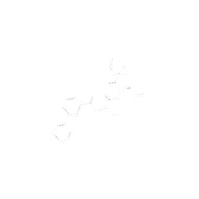 CC(C)C[C@@H](NC(=O)[C@H](CO)NC(=O)c1cccc(-c2ccccc2)c1)C(=O)[C@]1(CO)CO1